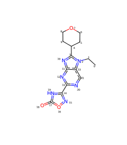 CCn1c(C2CCOCC2)nc2nc(-c3noc(=O)[nH]3)ncc21